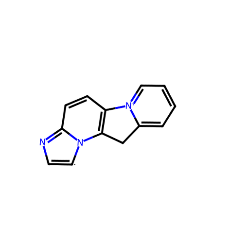 [c]1cnc2ccc3c(n12)Cc1cccc[n+]1-3